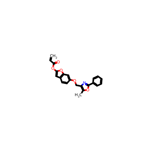 C=CC(=O)Oc1cc2ccc(OCc3nc(-c4ccccc4)oc3C)cc2o1